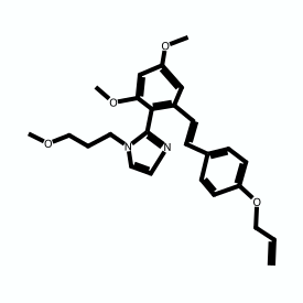 C=CCOc1ccc(C=Cc2cc(OC)cc(OC)c2-c2nccn2CCCOC)cc1